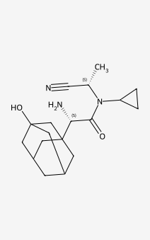 C[C@@H](C#N)N(C(=O)[C@@H](N)C12CC3CC(CC(O)(C3)C1)C2)C1CC1